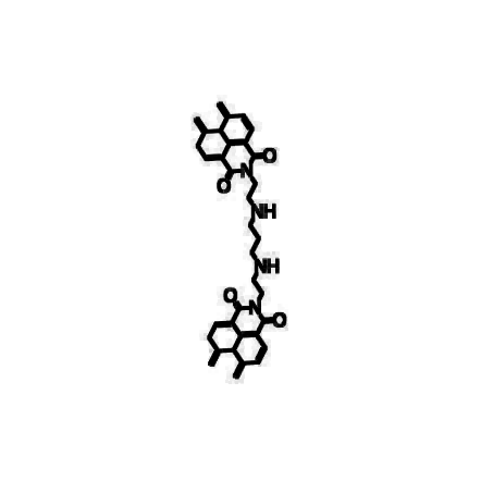 C=C1C=CC2=C3C(=CCC(=C)C13)C(=O)N(CCNCCCNCCN1C(=O)C3=CCC(=C)C4C(=C)C=CC(=C34)C1=O)C2=O